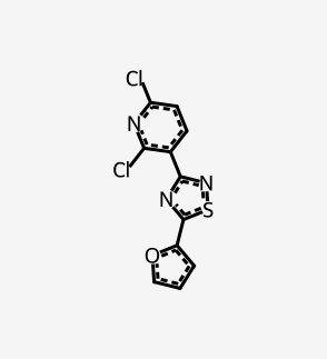 Clc1ccc(-c2nsc(-c3ccco3)n2)c(Cl)n1